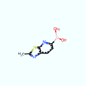 Cc1nc2ccc(B(O)O)nc2s1